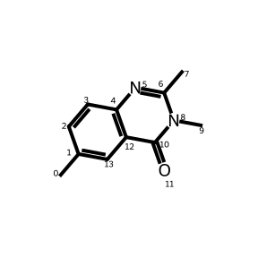 Cc1ccc2nc(C)n(C)c(=O)c2c1